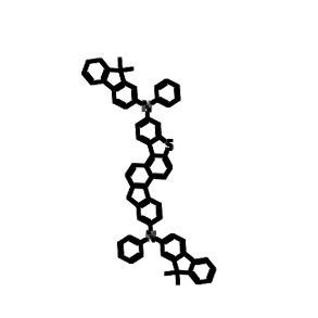 CC1(C)C2=C(C=CCC2)c2ccc(N(c3ccccc3)c3ccc4c(c3)sc3ccc5c6c(ccc5c34)Cc3cc(N(c4ccccc4)c4ccc5c(c4)C(C)(C)c4ccccc4-5)ccc3-6)cc21